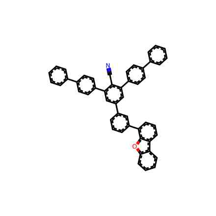 N#Cc1c(-c2ccc(-c3ccccc3)cc2)cc(-c2cccc(-c3cccc4c3oc3ccccc34)c2)cc1-c1ccc(-c2ccccc2)cc1